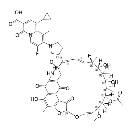 CO[C@H]1/C=C/O[C@@]2(C)Oc3c(C)c(O)c4c(c3C2=O)C(=O)C(CNC[C@H]2CCN(c3c(F)cn5c(=O)c(C(=O)O)cc(C6CC6)c5c3C)C2)=C(NC(=O)/C(C)=C\C=C\[C@H](C)[C@H](O)[C@@H](C)[C@@H](O)[C@@H](C)[C@H](OC(C)=O)[C@@H]1C)C4=O